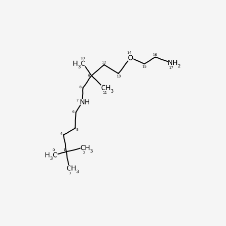 CC(C)(C)CCCNCC(C)(C)CCOCCN